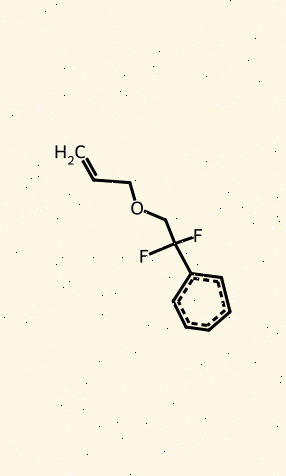 C=CCOCC(F)(F)c1ccccc1